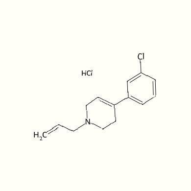 C=CCN1CC=C(c2cccc(Cl)c2)CC1.Cl